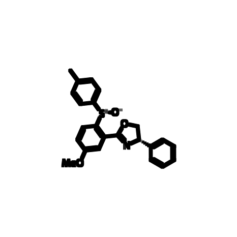 COc1ccc([S@+]([O-])c2ccc(C)cc2)c(C2=N[C@@H](c3ccccc3)CO2)c1